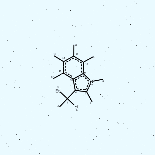 CCC(C)(CC)c1c(C)n(C)c2c(C)c(C)c(C)c(C)c12